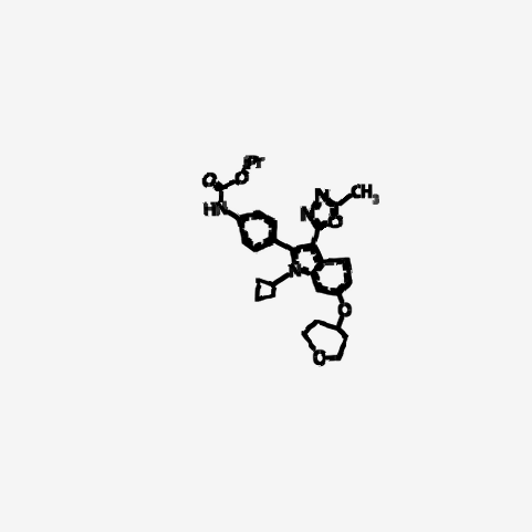 Cc1nnc(-c2c(-c3ccc(NC(=O)OC(C)C)cc3)n(C3CCC3)c3cc(OC4CCOCC4)ccc23)o1